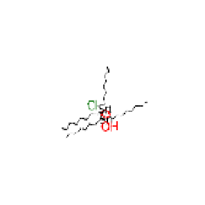 CCCCCCC[CH2][Sn]([OH])([CH2]CCCCCCC)[O][Sn]([Cl])([CH2]CCCCCCC)[CH2]CCCCCCC